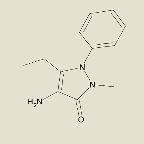 CCc1c(N)c(=O)n(C)n1-c1ccccc1